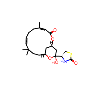 C/C1=C/C(=O)O[C@@H]2C[C@@H](CCC(C)(C)/C=C\CC1)O[C@@](O)([C@@H]1CSC(=O)N1)C2